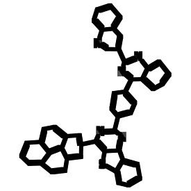 c1ccc2ncc(-c3nc(-c4ccc(-c5nc(-c6cc7ccc8cccc9ccc(c6)c7c89)c6sc7ccccc7c6n5)cc4)c4ccccc4n3)cc2c1